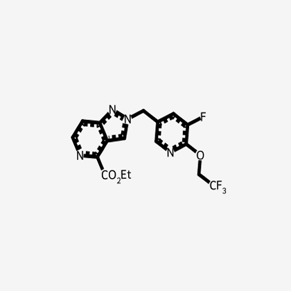 CCOC(=O)c1nccc2nn(Cc3cnc(OCC(F)(F)F)c(F)c3)cc12